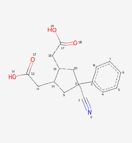 N#CC1(c2ccccc2)CC(CC(=O)O)C(CC(=O)O)C1